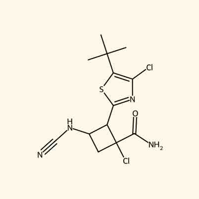 CC(C)(C)c1sc(C2C(NC#N)CC2(Cl)C(N)=O)nc1Cl